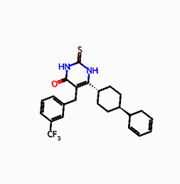 O=c1[nH]c(=S)[nH]c([C@H]2CC[C@H](C3C=CC=CC3)CC2)c1Cc1cccc(C(F)(F)F)c1